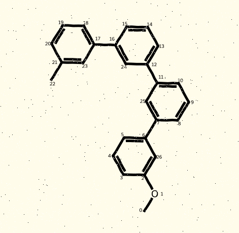 COc1cccc(-c2cccc(-c3cccc(-c4cccc(C)c4)c3)c2)c1